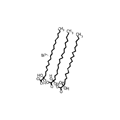 CCCCCCCCCCCCCCCCCCC(O)(O)C(=O)[O-].CCCCCCCCCCCCCCCCCCC(O)(O)C(=O)[O-].CCCCCCCCCCCCCCCCCCC(O)(O)C(=O)[O-].[Bi+3]